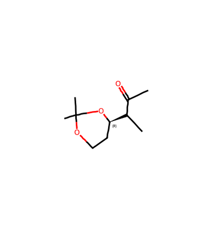 CC(=O)C(C)[C@H]1CCOC(C)(C)O1